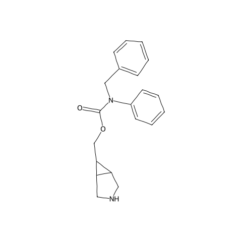 O=C(OCC1C2CNCC21)N(Cc1ccccc1)c1ccccc1